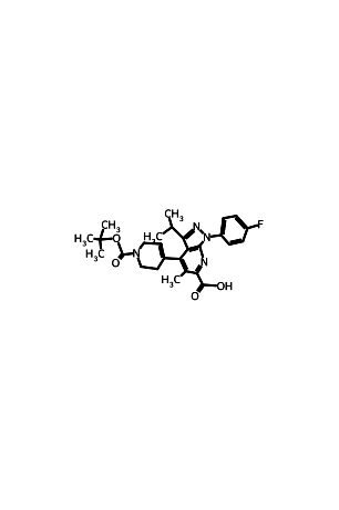 Cc1c(C(=O)O)nc2c(c(C(C)C)nn2-c2ccc(F)cc2)c1C1=CCN(C(=O)OC(C)(C)C)CC1